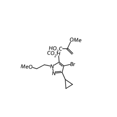 C=C(OC)C(=O)O.COCCn1nc(C2CC2)c(Br)c1C(=O)O